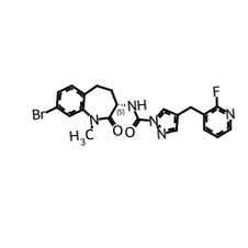 CN1C(=O)[C@@H](NC(=O)n2cc(Cc3cccnc3F)cn2)CCc2ccc(Br)cc21